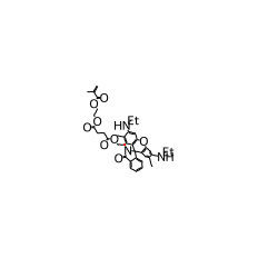 C=C(C)C(=O)OCCOC(=O)CCC(=O)OCCN1C(=O)c2ccccc2C12c1cc(C)c(NCC)cc1Oc1cc(NCC)c(C)cc12